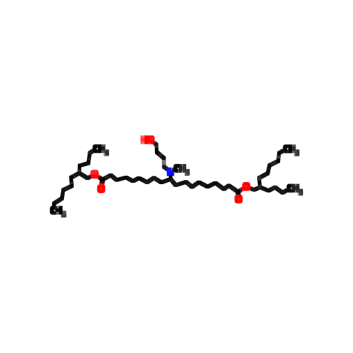 CCCCCCC(CCCC)COC(=O)CCCCCCCCC(CCCCCCCCC(=O)OCC(CCCC)CCCCCC)N(C)CCCCO